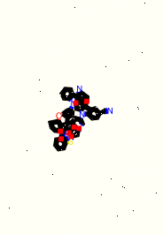 N#Cc1ccc2c(c1)c1cc(C#N)ccc1n2-c1cnc2c(c1)C1(c3ccc(-n4c5ccccc5c5ccccc54)cc3Oc3cccc(N4c5ccccc5Sc5ccccc54)c31)c1cccnc1-2